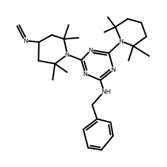 C=NC1CC(C)(C)N(c2nc(NCc3ccccc3)nc(N3C(C)(C)CCCC3(C)C)n2)C(C)(C)C1